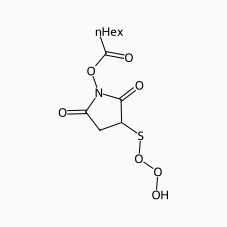 CCCCCCC(=O)ON1C(=O)CC(SOOO)C1=O